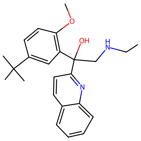 CCNCC(O)(c1ccc2ccccc2n1)c1cc(C(C)(C)C)ccc1OC